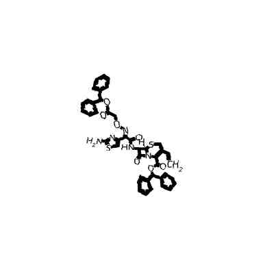 C=CC1=C(C(=O)OC(c2ccccc2)c2ccccc2)N2C(=O)C(NC(=O)/C(=N/OCC(=O)OC(c3ccccc3)c3ccccc3)c3csc(N)n3)[C@H]2SC1